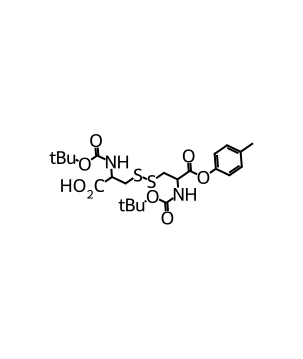 Cc1ccc(OC(=O)C(CSSCC(NC(=O)OC(C)(C)C)C(=O)O)NC(=O)OC(C)(C)C)cc1